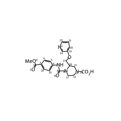 COC(=O)c1ccc(NC(=O)N2CCN(C(=O)O)CC2COc2cccnc2)cc1